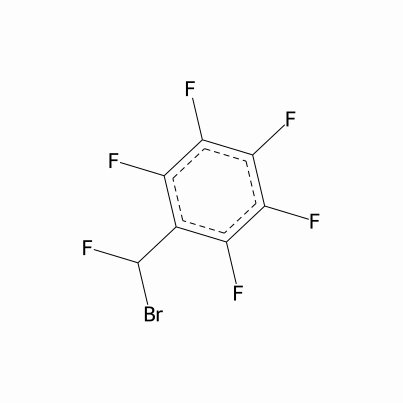 Fc1c(F)c(F)c(C(F)Br)c(F)c1F